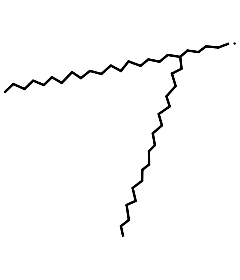 [CH2]CCCCC(CCCCCCCCCCCCCCCCCC)CCCCCCCCCCCCCCCCCCC